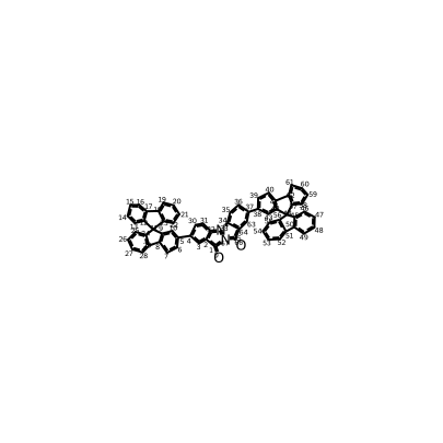 O=c1c2cc(-c3ccc4c(c3)C3(c5ccccc5-c5ccccc53)c3ccccc3-4)ccc2n2c3ccc(-c4ccc5c(c4)C4(c6ccccc6-c6ccccc64)c4ccccc4-5)cc3c(=O)n12